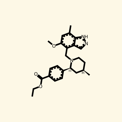 CCOC(=O)c1ccc([C@@H]2C[C@H](C)CCN2Cc2c(OC)cc(C)c3[nH]ncc23)cc1